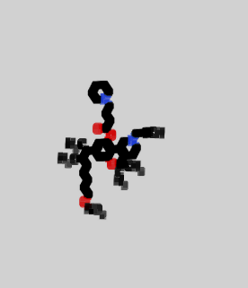 C#CCN1CCC2=C(C1)c1c(OC(=O)CCCN3CCCCC3)cc(C(C)C(C)CCCCCO[N+](=O)[O-])cc1OC2(C)C